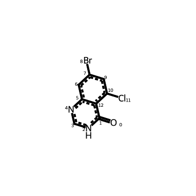 O=c1[nH]cnc2cc(Br)cc(Cl)c12